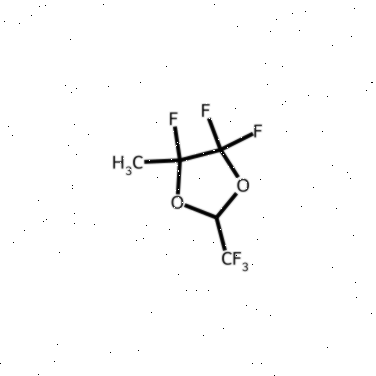 CC1(F)OC(C(F)(F)F)OC1(F)F